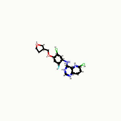 Fc1cc(OCC2CCOC2)c(Cl)cc1Nc1ncnc2ccc(Cl)nc12